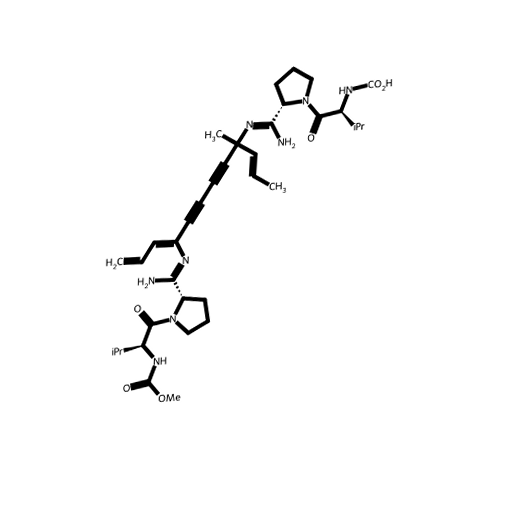 C=C/C=C(C#CC#CC(C)(C=CC)/N=C(\N)[C@@H]1CCCN1C(=O)[C@@H](NC(=O)O)C(C)C)\N=C(/N)[C@@H]1CCCN1C(=O)[C@@H](NC(=O)OC)C(C)C